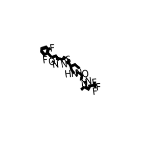 Cc1cc(C(F)(F)F)nn1CC(=O)N1CCC(c2nc(C3=NOC(c4c(F)cccc4F)C3)cs2)CN1